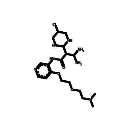 CN(C)CCOCCOc1ccncc1NC(=O)C(C(N)N)C1NCC(Cl)CN1